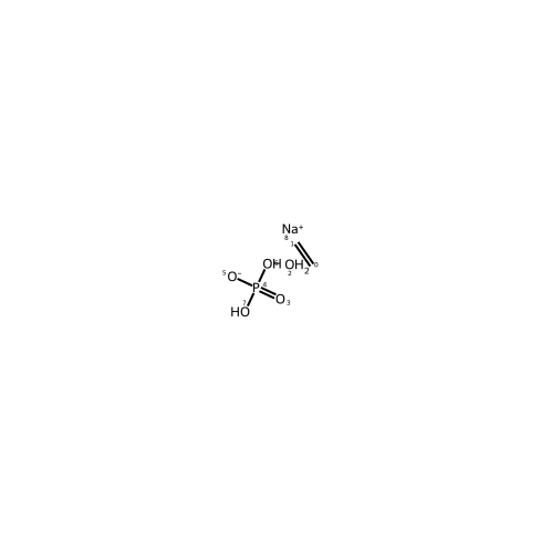 C=C.O.O=P([O-])(O)O.[Na+]